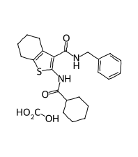 O=C(NCc1ccccc1)c1c(NC(=O)C2CCCCC2)sc2c1CCCC2.O=C(O)O